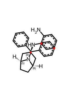 Nc1ccccc1N[C@H]1C[C@H]2CC[C@@H](C1)N2C(c1ccccc1)c1ccccc1